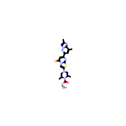 Cc1cn2nc(-c3cc(=O)n4cc(N5CC(C)N(C(=O)OC(C)(C)C)C(C)C5)sc4n3)cc(C)c2n1